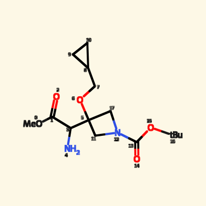 COC(=O)C(N)C1(OCC2CC2)CN(C(=O)OC(C)(C)C)C1